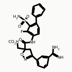 N=C(N)c1cccc(C2=NOC(CC(=O)O)(C(=O)Nc3ccc(-c4ccccc4)c(S(N)(=O)=O)c3F)C2)c1